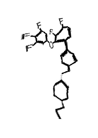 CCC[C@H]1CC[C@H](CCc2ccc(-c3ccc(F)c(F)c3Oc3cc(F)c(F)c(F)c3)cc2)CC1